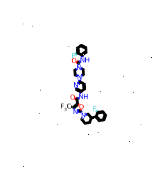 O=C(Nc1ccc(N2CCN(C(=O)Nc3ccccc3F)CC2)nc1)c1oc(N2CCCC(c3ccccc3F)C2)nc1C(F)(F)F